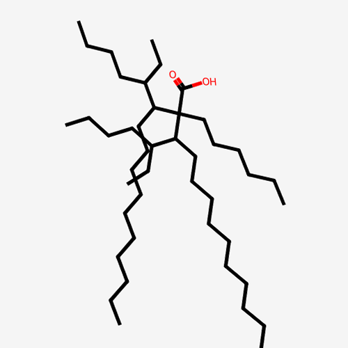 CCCCCCCCCCC(C(CC)CCCC)C(CCCCCC)(C(=O)O)C(CCCCCCCCCC)C(CC)CCCC